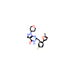 Cc1ccc(-c2ccc(F)cc2Cc2nc3c(cnn3C3CCOCC3)c(=O)[nH]2)o1